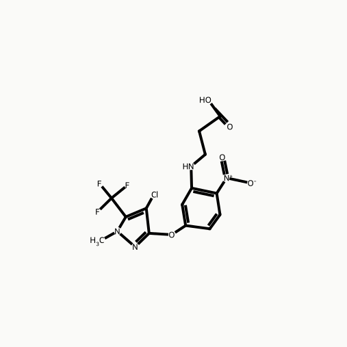 Cn1nc(Oc2ccc([N+](=O)[O-])c(NCCC(=O)O)c2)c(Cl)c1C(F)(F)F